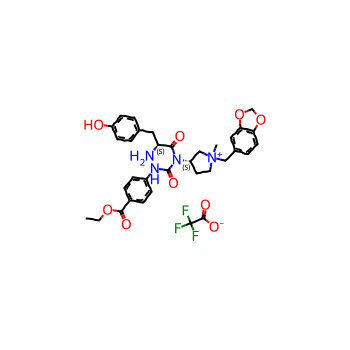 CCOC(=O)c1ccc(NC(=O)N(C(=O)[C@@H](N)Cc2ccc(O)cc2)[C@H]2CC[N+](C)(Cc3ccc4c(c3)OCO4)C2)cc1.O=C([O-])C(F)(F)F